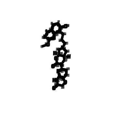 COc1ncc2ccc(=O)n(CCCN3C[C@H]4CN(c5ccc6c(n5)NC(=O)CO6)C(=O)O[C@H]4C3)c2n1